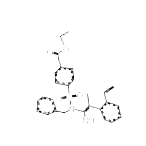 C=Cc1ccccc1/C(C)=C(\N)N(Cc1ccccc1)S(=O)(=O)c1ccc(C(=O)OCC)cc1